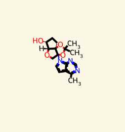 Cc1ncnc2c1ccn2[C@@]12CO[C@@H]3[C@H](O)CC[C@@]31OC(C)(C)O2